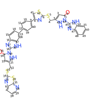 O=c1cc(CSc2nc(-c3ccc(-c4ccc5nc(-n6[nH]c(CSc7nc8cccnc8s7)cc6=O)[nH]c5c4)cc3)cs2)[nH]n1-c1nc2ccccc2[nH]1